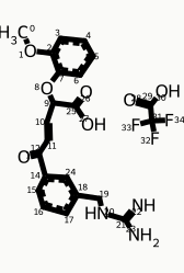 COc1ccccc1OC(C=CC(=O)c1cccc(CNC(=N)N)c1)C(=O)O.O=C(O)C(F)(F)F